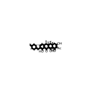 CC(=O)C1=C(O)C[C@@]2(C)[C@H](C)[C@]3(C)C(=C(O)[C@]2(O)C1=O)C(=O)c1c(ccc(CC2CCC(C)CC2)c1O)[C@H]3C